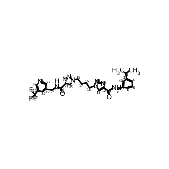 CC(C)c1cccc(CNC(=O)c2cn(CCCCN3CC(C(=O)NCc4cncc(C(F)(F)F)c4)N=N3)nn2)c1